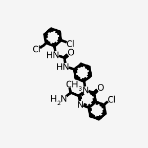 CC(N)c1nc2cccc(Cl)c2c(=O)n1-c1cccc(NC(=O)Nc2c(Cl)cccc2Cl)c1